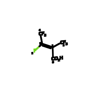 O=C(O)C(=C(F)C(F)(F)F)C(F)(F)F